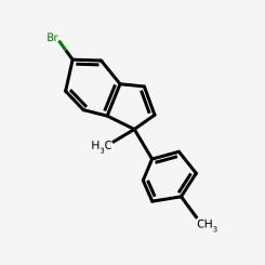 Cc1ccc(C2(C)C=Cc3cc(Br)ccc32)cc1